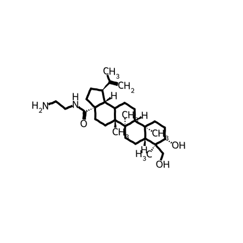 C=C(C)[C@@H]1CC[C@]2(C(=O)NCCN)CC[C@]3(C)C(CC[C@@H]4[C@@]5(C)CC[C@H](O)[C@@](C)(CO)[C@@H]5CC[C@]43C)[C@@H]12